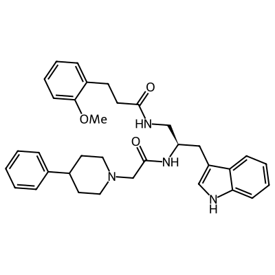 COc1ccccc1CCC(=O)NC[C@@H](Cc1c[nH]c2ccccc12)NC(=O)CN1CCC(c2ccccc2)CC1